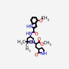 COC(=O)C(CC1CCNC1=O)NCC(CC(C)(C)C)NC(=O)c1cc2c(OC)cccc2[nH]1